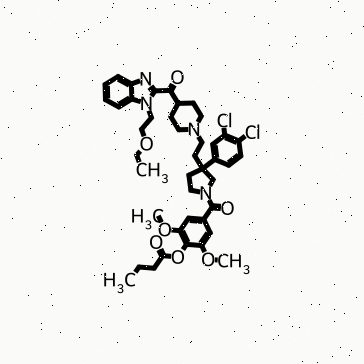 CCCC(=O)Oc1c(OC)cc(C(=O)N2CCC(CCN3CCC(C(=O)c4nc5ccccc5n4CCOCC)CC3)(c3ccc(Cl)c(Cl)c3)C2)cc1OC